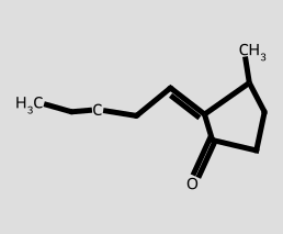 CCCCC=C1C(=O)CCC1C